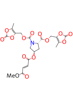 COC(=O)/C=C/C(=O)O[C@@H]1C[C@@H](C(=O)OCc2oc(=O)oc2C)N(C(=O)OCc2oc(=O)oc2C)C1